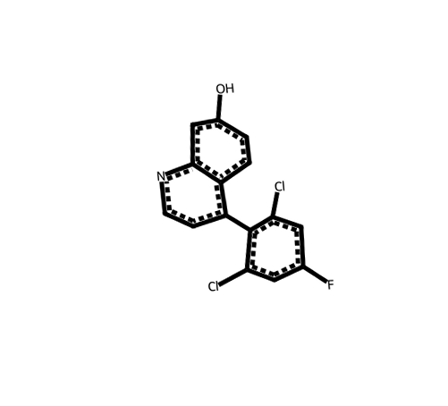 Oc1ccc2c(-c3c(Cl)cc(F)cc3Cl)ccnc2c1